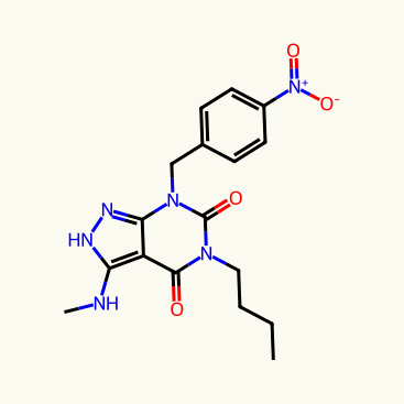 CCCCn1c(=O)c2c(NC)[nH]nc2n(Cc2ccc([N+](=O)[O-])cc2)c1=O